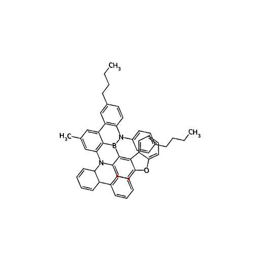 CCCCc1ccc(N2B3c4c(cc(C)cc4N(C4C=CC=CC4c4ccccc4)c4ccc5oc6ccccc6c5c43)-c3cc(CCCC)ccc32)cc1